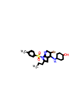 CCCc1cc2c(NC3CCC(O)CC3)c(Br)cnc2n1S(=O)(=O)c1ccc(C)cc1